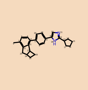 Cc1ccc(-c2ccc(-c3cnc(C4CCCC4)[nH]3)cc2)c2c1CC1CCC21